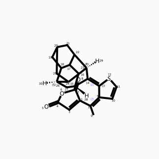 C/C(C1=CC(=O)OC1=O)=c1\ccs\c1=C1\[C@H]2CC3C4CC5CC3[C@@H]1C(C5)[C@H]4C2